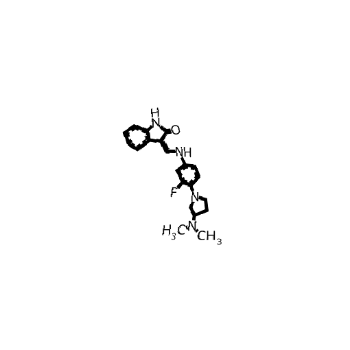 CN(C)C1CCN(c2ccc(N/C=C3\C(=O)Nc4ccccc43)cc2F)C1